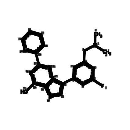 CN(C)Cc1cc(F)cc(-c2csc3c(O)nc(-c4ccccn4)nc23)c1